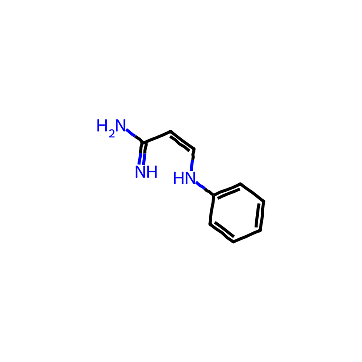 N=C(N)/C=C\Nc1ccccc1